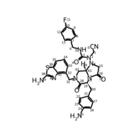 N#CCN(C(=O)NCc1ccc(F)cc1)N1CC(=O)N2[C@@H](Cc3ccc(N)cc3)C(=O)N(Cc3cccc4sc(N)nc34)C[C@@H]21